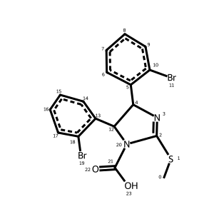 CSC1=NC(c2ccccc2Br)C(c2ccccc2Br)N1C(=O)O